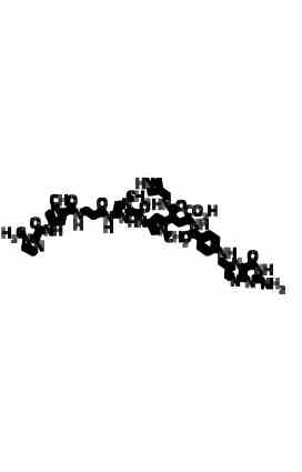 Cn1cc(NC(=O)c2nccn2C)cc1C(=O)NCCC(=O)Nc1cn(C)c(C(=O)Nc2cc(C(C[C@H](NC(=O)c3ccc(NCc4cnc5nc(N)[nH]c(=O)c5n4)cc3)C(=O)O)C(=O)NCC3CNC3)n(C)c2)n1